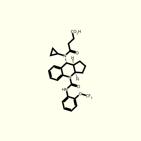 O=C(O)CCC(=O)N(C1CC1)[C@H]1c2ccccc2N(C(=O)Nc2ccccc2OC(F)(F)F)[C@@H]2CCC[C@@H]21